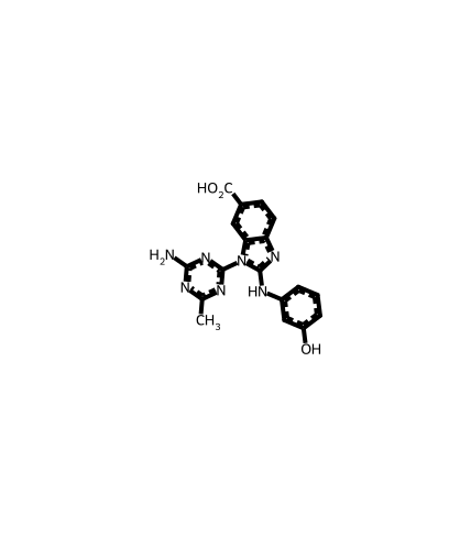 Cc1nc(N)nc(-n2c(Nc3cccc(O)c3)nc3ccc(C(=O)O)cc32)n1